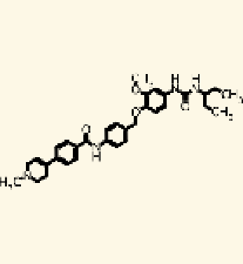 CCC(CC)NC(=O)Nc1ccc(OCc2ccc(NC(=O)c3ccc(C4=CCN(C)CC4)cc3)cc2)c(OC)c1